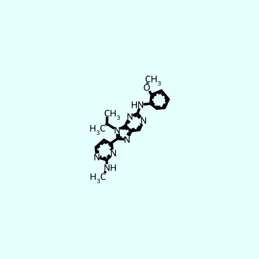 CNc1nccc(-c2nc3cnc(Nc4ccccc4OC)nc3n2C(C)C)n1